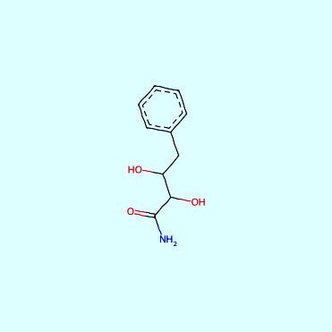 NC(=O)C(O)C(O)Cc1ccccc1